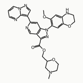 COc1cc2c(cc1-n1nc(C(=O)OCC3CN(C)CCO3)c3cnc(-c4cnn5cccnc45)cc31)OCCN2